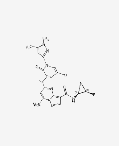 CNc1cc(Nc2cc(Cl)cn(-c3cc(C)n(C)n3)c2=O)nc2c(C(=O)N[C@H]3C[C@H]3F)cnn12